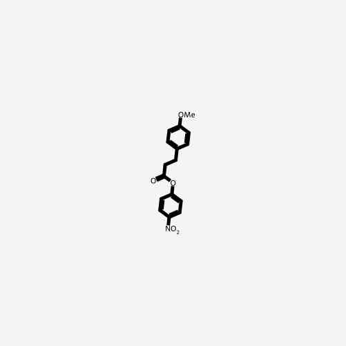 COc1ccc(CCC(=O)Oc2ccc([N+](=O)[O-])cc2)cc1